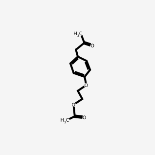 CC(=O)Cc1ccc(OCCOC(C)=O)cc1